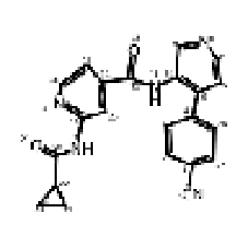 N#Cc1ccc(-c2ccncc2NC(=O)c2ccnc(NC(=O)C3CC3)c2)cc1